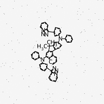 CC1(C)c2cc(N(c3ccccc3)c3cccc(-c4nnn5ccccc45)c3)ccc2-c2c1cc(N(c1ccccc1)c1cccc(-c3nnn4ccccc34)c1)c1ccccc21